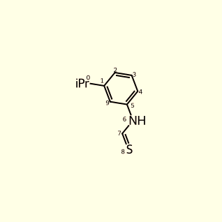 CC(C)c1cccc(NC=S)c1